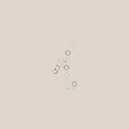 CC(C)c1ccccc1[C@@H]1CCCN1C1CC2(CCN(c3ccc(C(=O)NS(=O)(=O)c4cc5c(c([N+](=O)[O-])c4)N[C@@H](CN4CCN(C)CC4)CO5)c(N4c5cc6cc[nH]c6nc5O[C@@H]5COCC[C@H]54)c3)CC2)C1